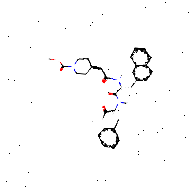 CNC(=O)[C@@H](Cc1ccccc1)N(C)C(=O)[C@@H](Cc1ccc2ccccc2c1)N(C)C(=O)C=C1CCN(C(=O)OC(C)(C)C)CC1